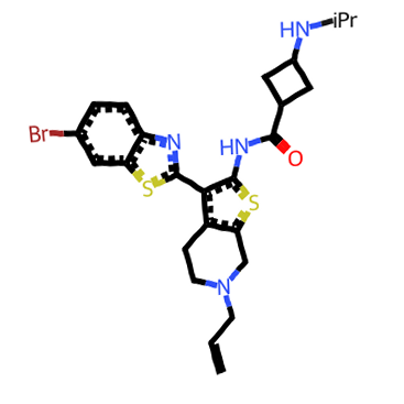 C=CCN1CCc2c(sc(NC(=O)C3CC(NC(C)C)C3)c2-c2nc3ccc(Br)cc3s2)C1